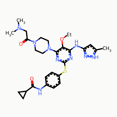 CCOc1c(Nc2cc(C)[nH]n2)nc(Sc2ccc(NC(=O)C3CC3)cc2)nc1N1CCN(C(=O)CN(C)C)CC1